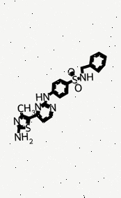 Cc1nc(N)sc1-c1ccnc(Nc2ccc(S(=O)(=O)NCc3ccccc3)cc2)n1